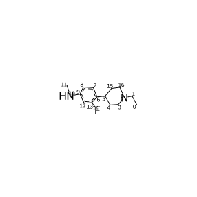 CCN1CCC(c2ccc(NC)cc2F)CC1